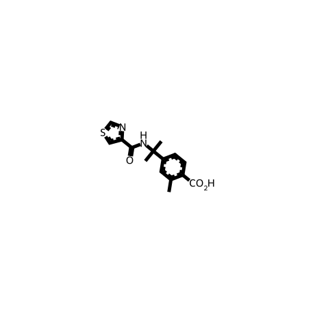 Cc1cc(C(C)(C)NC(=O)c2cscn2)ccc1C(=O)O